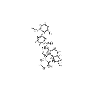 COc1cccc(F)c1-c1nccc(C(=O)Nc2ccc3sc(C)nc3c2N(C)C2CCCNC2)n1